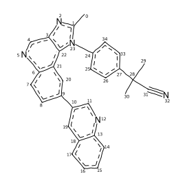 Cc1nc2cnc3ccc(-c4cnc5ccccc5c4)cc3c2n1-c1ccc(C(C)(C)C#N)cc1